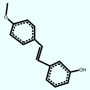 COc1ccc(C=Cc2cccc(O)c2)cc1